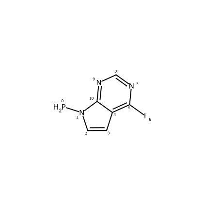 Pn1ccc2c(I)ncnc21